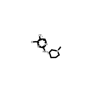 CN1CCC[C@H](Nc2ncc(C(F)(F)F)c(Cl)n2)C1